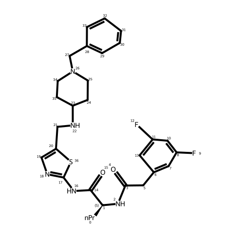 CCC[C@H](NC(=O)Cc1cc(F)cc(F)c1)C(=O)Nc1ncc(CNC2CCN(Cc3ccccc3)CC2)s1